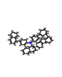 c1ccc2c(c1)-c1cccc3c1C21c2cc(N(c4ccc(-c5cccc6ccccc56)cc4)c4cccc5ccccc45)ccc2-c2cccc-3c21